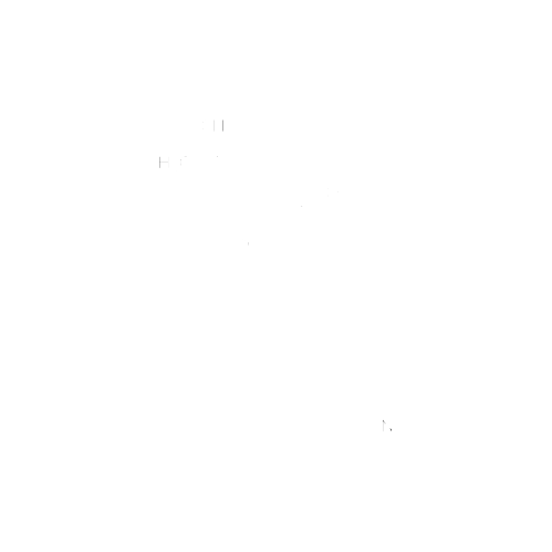 CC1(C)CCc2c(sc3cc(-c4cccc(C#N)c4)ccc3c2=O)C1